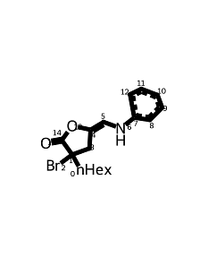 CCCCCCC1(Br)CC(=CNc2ccccc2)OC1=O